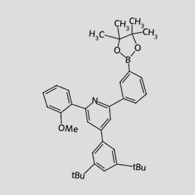 COc1ccccc1-c1cc(-c2cc(C(C)(C)C)cc(C(C)(C)C)c2)cc(-c2cccc(B3OC(C)(C)C(C)(C)O3)c2)n1